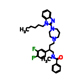 CCCCCn1c(N2CCCN(CCC(CN(C)C(=O)c3ccccc3)c3ccc(F)c(F)c3)CC2)nc2ccccc21